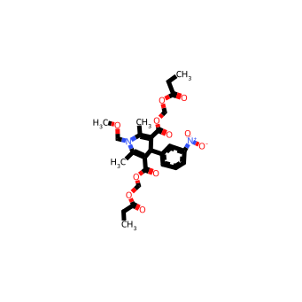 CCC(=O)OCOC(=O)C1=C(C)N(COC)C(C)=C(C(=O)OCOC(=O)CC)C1c1cccc([N+](=O)[O-])c1